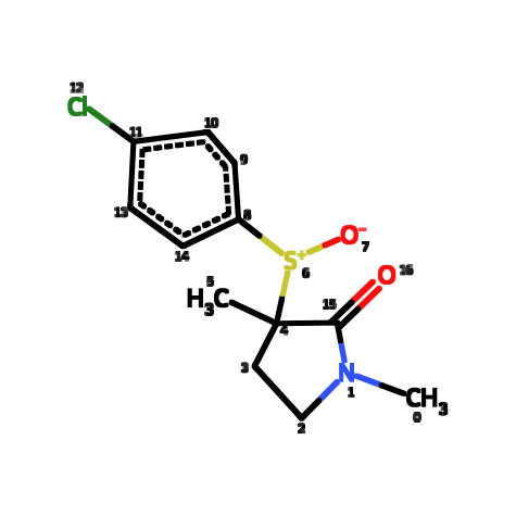 CN1CCC(C)([S+]([O-])c2ccc(Cl)cc2)C1=O